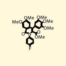 COC(=O)c1c(-c2cc(OC)c(OC)c(OC)c2)c2cc(OC)c(OC)cc2c(=O)n1-c1ccc(F)cc1